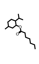 CCCCCCC(=O)OC1CC(C)CCC1C(C)C